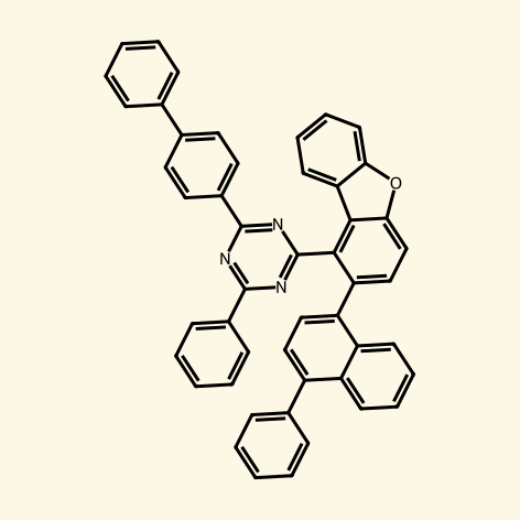 c1ccc(-c2ccc(-c3nc(-c4ccccc4)nc(-c4c(-c5ccc(-c6ccccc6)c6ccccc56)ccc5oc6ccccc6c45)n3)cc2)cc1